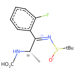 C[C@H](NC(=O)O)/C(=N\[S+]([O-])C(C)(C)C)c1ccccc1F